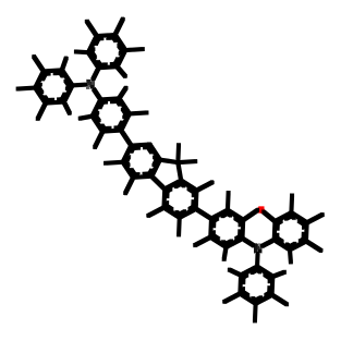 Cc1c(-c2c(C)c(C)c(N(c3c(C)c(C)c(C)c(C)c3C)c3c(C)c(C)c(C)c(C)c3C)c(C)c2C)cc2c(c1C)-c1c(C)c(C)c(-c3c(C)c(C)c(N(c4c(C)c(C)c(C)c(C)c4C)c4c(C)c(C)c(C)c(C)c4C)c(C)c3C)c(C)c1C2(C)C